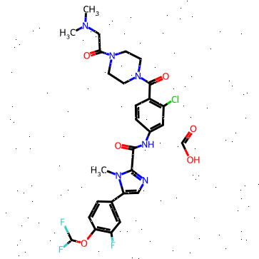 CN(C)CC(=O)N1CCN(C(=O)c2ccc(NC(=O)c3ncc(-c4ccc(OC(F)F)c(F)c4)n3C)cc2Cl)CC1.O=CO